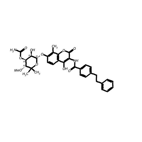 CO[C@@H]1[C@@H](OC(N)=O)[C@@H](O)[C@H](Oc2ccc3c(O)c(NC(=O)c4ccc(CCc5ccccc5)cc4)c(=O)oc3c2C)OC1(C)C